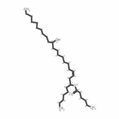 CCCCCCCCCCC(O)CCCCCCC/C=C\CC(CCCCCC)OC(=O)CCCCC